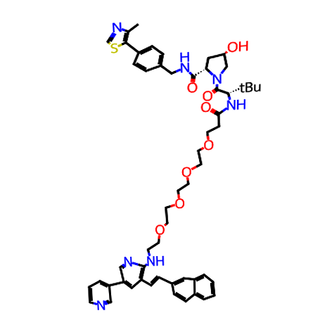 Cc1ncsc1-c1ccc(CNC(=O)[C@@H]2C[C@@H](O)CN2C(=O)[C@@H](NC(=O)CCOCCOCCOCCOCCNc2ncc(-c3cccnc3)cc2/C=C/c2ccc3ccccc3c2)C(C)(C)C)cc1